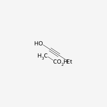 CC(=O)O.CCC#CO